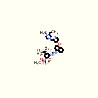 CCC1CN(Cc2cc(Oc3ccc(NC(=O)Nc4cc(C(C)(C)C)cc(NC(=O)OC)c4OC)c4ccccc34)ccn2)CCN1C